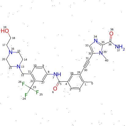 Cc1ccc(C(=O)Nc2ccc(CN3CCN(CCO)CC3)c(C(F)(F)F)c2)cc1C#Cc1cnc(C(N)=O)n1C